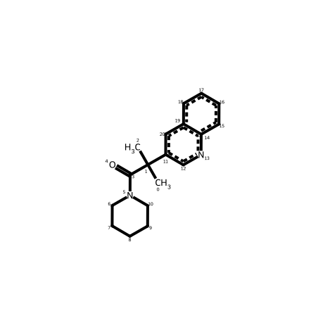 CC(C)(C(=O)N1CCCCC1)c1cnc2ccccc2c1